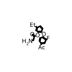 CCc1ccc(Oc2ccc(C(C)=O)cc2F)c(OC(=O)CN)c1